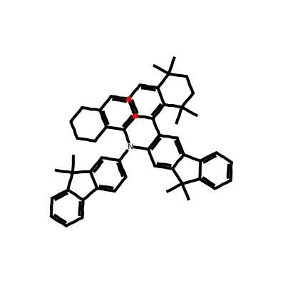 CC1(C)CCC(C)(C)c2c(-c3cc4c(cc3N(c3ccc5c(c3)C(C)(C)c3ccccc3-5)c3cccc5c3CCCC5)C(C)(C)c3ccccc3-4)cccc21